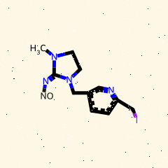 CN1CCN(Cc2ccc(CI)nc2)/C1=N\N=O